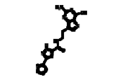 Nc1nc(O)c2ncn(CCNC(=O)c3cc(-c4cccs4)n[nH]3)c2n1